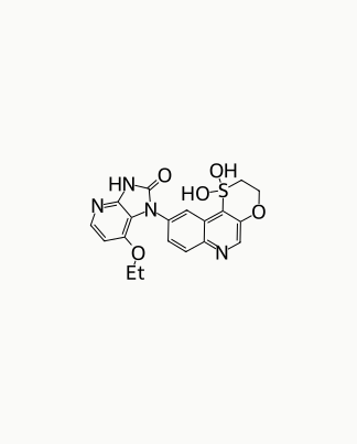 CCOc1ccnc2[nH]c(=O)n(-c3ccc4ncc5c(c4c3)S(O)(O)CCO5)c12